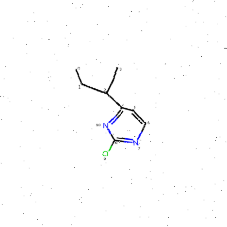 CCC(C)c1ccnc(Cl)n1